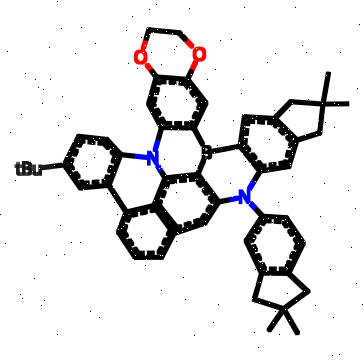 Cc1cc2c3c(c1)N(c1ccc(C(C)(C)C)cc1-c1ccccc1)c1cc4c(cc1B3c1cc3c(cc1N2c1ccc2c(c1)CC(C)(C)C2)CC(C)(C)C3)OCCO4